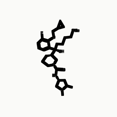 COCCCC[C@@](O)(c1cccc(F)c1OCC1CC1)[C@@H]1CCCN(C(=O)N[C@H]2CC(C)N(C)C2)C1